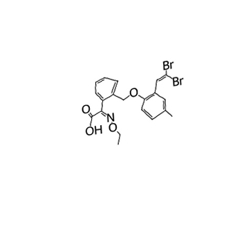 CCON=C(C(=O)O)c1ccccc1COc1ccc(C)cc1C=C(Br)Br